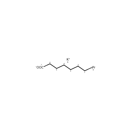 CC(C)CCCCCCC(=O)[O-].[K+]